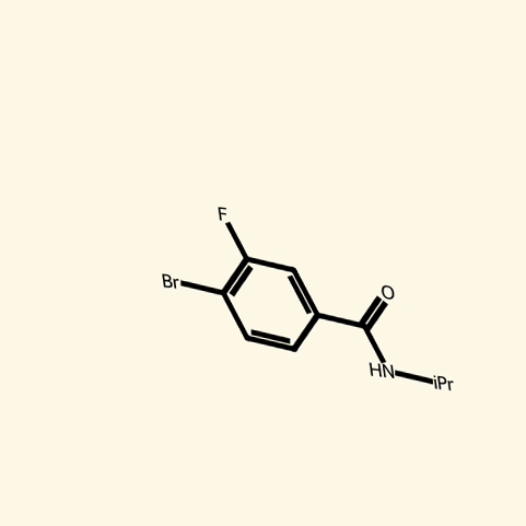 CC(C)NC(=O)c1ccc(Br)c(F)c1